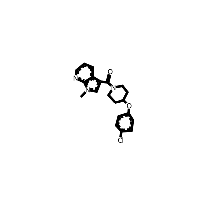 Cn1cc(C(=O)N2CCC(Oc3ccc(Cl)cc3)CC2)c2cccnc21